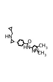 Cc1cc(NC(=O)c2ccc([C@@H]3C[C@H]3NCC3CC3)cc2)nn1C